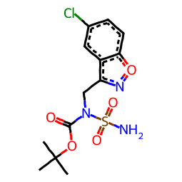 CC(C)(C)OC(=O)N(Cc1noc2ccc(Cl)cc12)S(N)(=O)=O